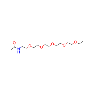 CCOCCOCCOCCOCCOCCNC(C)=O